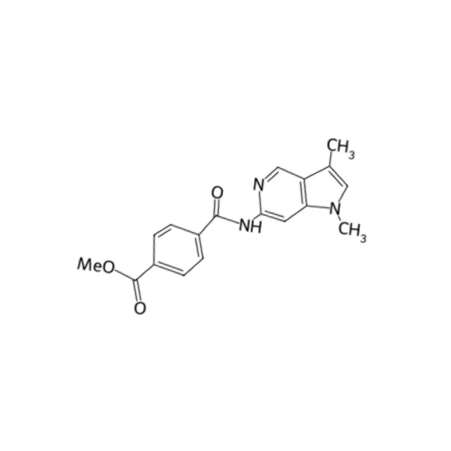 COC(=O)c1ccc(C(=O)Nc2cc3c(cn2)c(C)cn3C)cc1